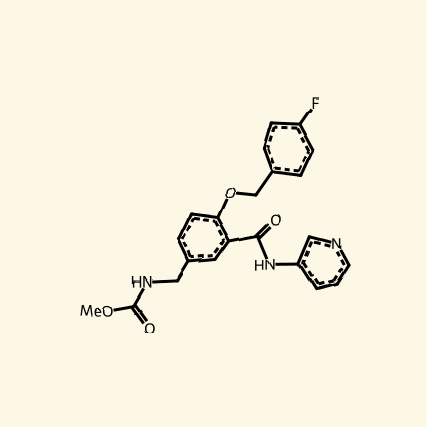 COC(=O)NCc1ccc(OCc2ccc(F)cc2)c(C(=O)Nc2cccnc2)c1